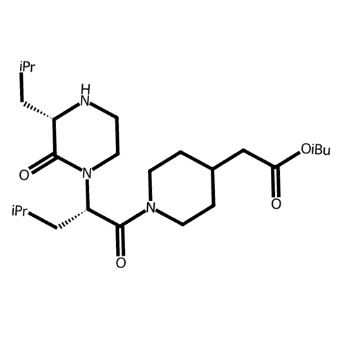 CC(C)COC(=O)CC1CCN(C(=O)[C@H](CC(C)C)N2CCN[C@@H](CC(C)C)C2=O)CC1